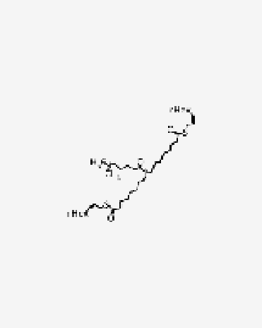 CCCCCC/C=C\CSC(=O)CCCCCCCP(CCCCCCCC(=O)SC/C=C\CCCCCC)C(=O)CCCCN(C)C